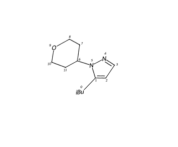 CCC(C)c1ccnn1C1CCOCC1